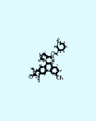 CN1CCC[C@@H](COc2nc(-c3ccc(C#N)cc3)c(-c3ccc4c(c3)n(C)c(=O)n4C)n3cncc23)C1